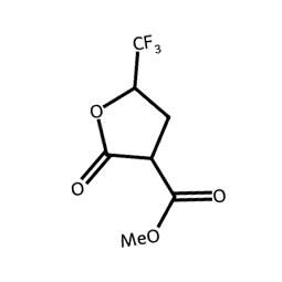 COC(=O)C1CC(C(F)(F)F)OC1=O